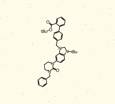 CCC(C)N1CN(Cc2ccc(-c3ccccc3C(=O)OC(C)(C)C)cc2)c2cc(N3CCCN(Cc4ccccc4)C3=O)ccc21